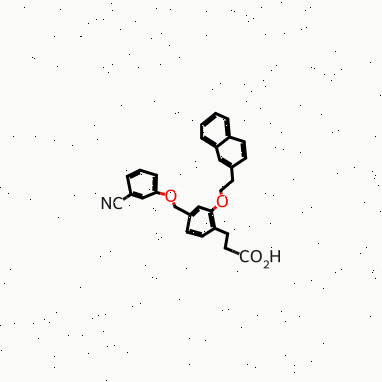 N#Cc1cccc(OCc2ccc(CCC(=O)O)c(OCCc3ccc4ccccc4c3)c2)c1